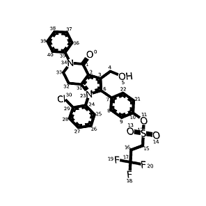 O=C1c2c(CO)c(-c3ccc(OS(=O)(=O)CCC(F)(F)F)cc3)n(-c3ccccc3Cl)c2CCN1c1ccccc1